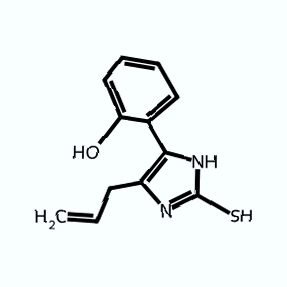 C=CCc1nc(S)[nH]c1-c1ccccc1O